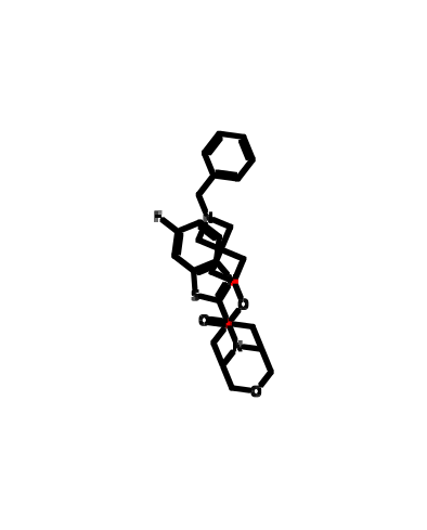 O=C(OC1CC2(C1)CN(Cc1ccccc1)C2)N1C2COCC1CN(c1nc3ccc(F)cc3s1)C2